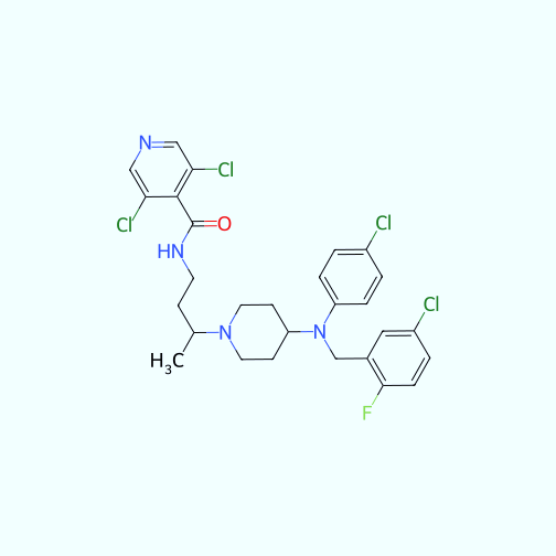 CC(CCNC(=O)c1c(Cl)cncc1Cl)N1CCC(N(Cc2cc(Cl)ccc2F)c2ccc(Cl)cc2)CC1